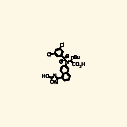 CCCCC(C(=O)O)N(c1ccc2c(-c3noc(O)n3)cccc2c1)S(=O)(=O)c1cc(Cl)cc(Cl)c1